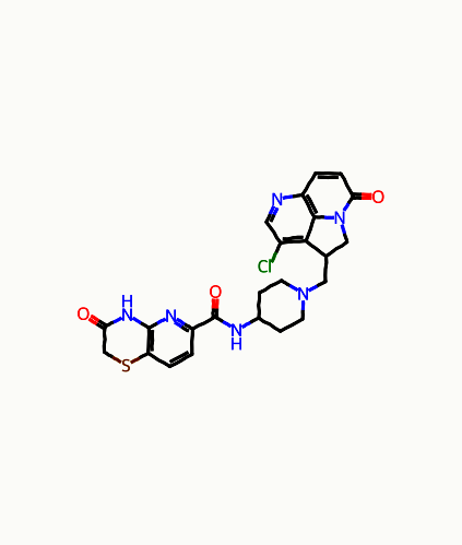 O=C1CSc2ccc(C(=O)NC3CCN(CC4Cn5c(=O)ccc6ncc(Cl)c4c65)CC3)nc2N1